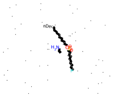 C=CCN.CCCCCCCCCCCCCCCCCCCCCOS(=O)(=O)CCCCCCCCCCF